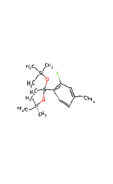 Cc1ccc([Si](C)(O[Si](C)(C)C)O[Si](C)(C)C)c(F)c1